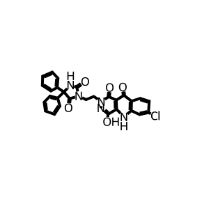 O=C1NC(c2ccccc2)(c2ccccc2)C(=O)N1CCn1nc(O)c2[nH]c3cc(Cl)ccc3c(=O)c2c1=O